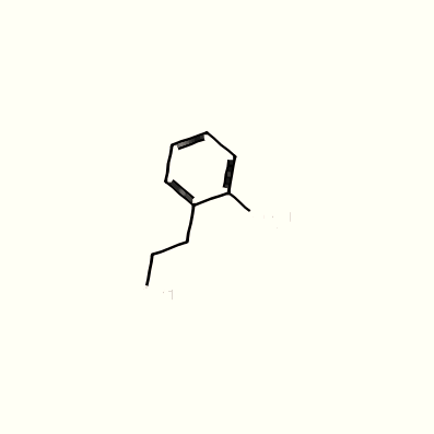 CCCCCCCCCc1ccccc1C(=O)O